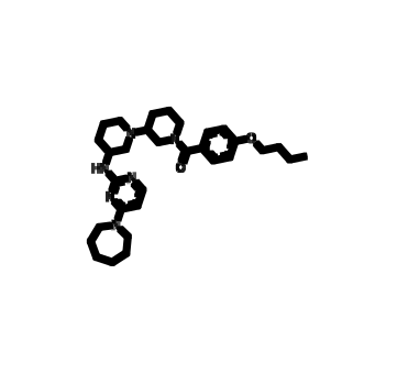 CCCCOc1ccc(C(=O)N2CCCC(N3CCCC(Nc4nccc(N5CCCCCC5)n4)C3)C2)cc1